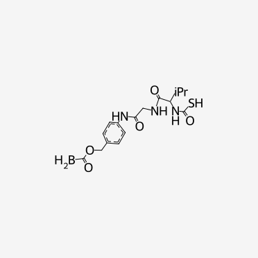 BC(=O)OCc1ccc(NC(=O)CNC(=O)C(NC(=O)S)C(C)C)cc1